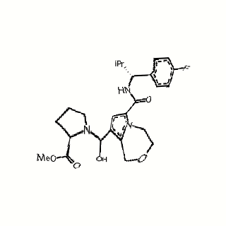 COC(=O)[C@H]1CCCN1C(O)c1cc(C(=O)N[C@@H](c2ccc(F)cc2)C(C)C)n2c1COCC2